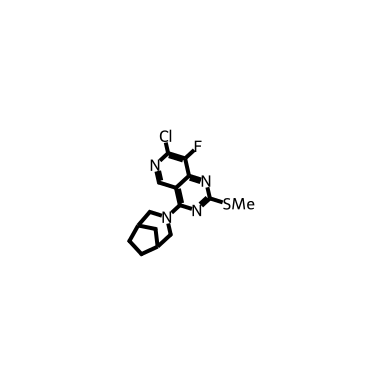 CSc1nc(N2CC3CCC(C3)C2)c2cnc(Cl)c(F)c2n1